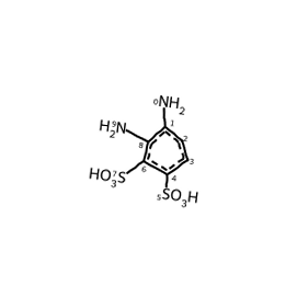 Nc1ccc(S(=O)(=O)O)c(S(=O)(=O)O)c1N